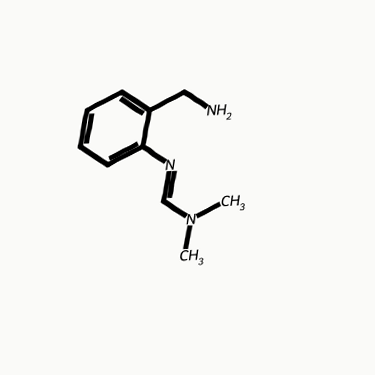 CN(C)/C=N/c1ccccc1CN